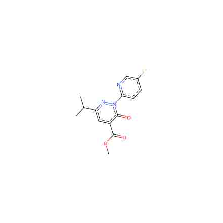 COC(=O)c1cc(C(C)C)nn(-c2ccc(F)cn2)c1=O